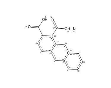 O=C(O)c1ccc2cc3ccccc3cc2c1C(=O)O.[Li]